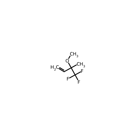 C=CC(C)(OC)C(F)(F)F